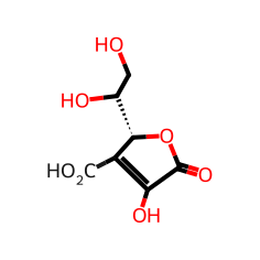 O=C(O)C1=C(O)C(=O)O[C@H]1C(O)CO